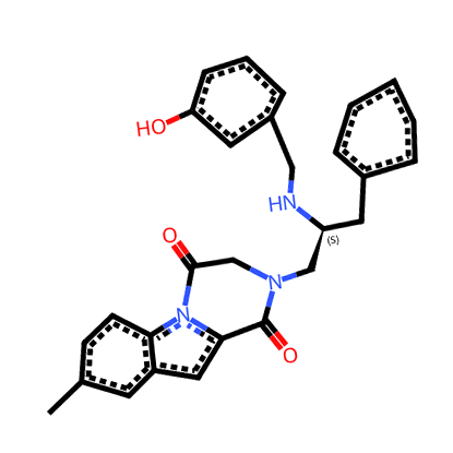 Cc1ccc2c(c1)cc1n2C(=O)CN(C[C@H](Cc2ccccc2)NCc2cccc(O)c2)C1=O